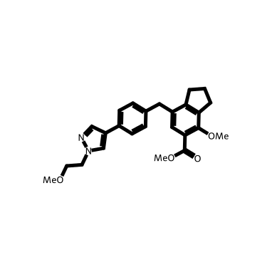 COCCn1cc(-c2ccc(Cc3cc(C(=O)OC)c(OC)c4c3CCC4)cc2)cn1